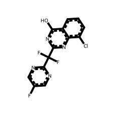 Oc1nc(C(F)(F)c2ncc(F)cn2)nc2c(Cl)cccc12